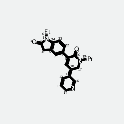 CCN1C(=O)Cc2cc(C3=CC(=C4C=CCN=C4)CN(C(C)C)C3=O)ccc21